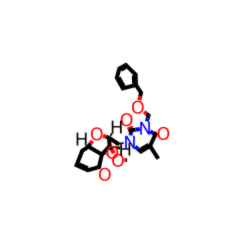 CO[C@H]1[C@H]2O[C@H]3CC=CC(=O)[C@]31O[C@H]2n1cc(C)c(=O)n(COCc2ccccc2)c1=O